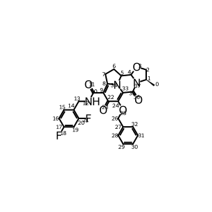 C[C@@H]1COC2C3CCc4c(C(=O)NCc5ccc(F)cc5F)c(=O)c(OCc5ccccc5)c(n43)C(=O)N21